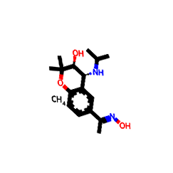 C.CC(=NO)c1ccc2c(c1)[C@@H](NC(C)C)[C@H](O)C(C)(C)O2